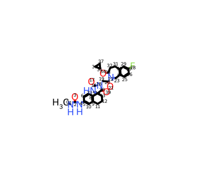 CNC(=O)Nc1ccc2c(c1)CCCC21NC(=O)N(CC(=O)N2Cc3ccc(F)cc3CCC2OC2CC2)C1=O